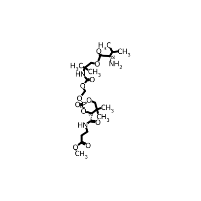 COC(=O)CCNC(=O)[C@@H]1O[P@@](=O)(OCOC(=O)NC(C)(C)COC(=O)[C@@H](N)C(C)C)OCC1(C)C